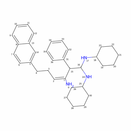 N/C(=C/CCc1ccc2ccccc2c1)[C]([C](NC1CCCCC1)NC1CCCCC1)c1ccccc1